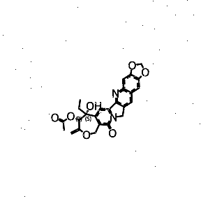 C=C1OCc2c(cc3n(c2=O)Cc2cc4cc5c(cc4nc2-3)OCO5)[C@@](O)(CC)[C@H]1OC(C)=O